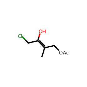 CC(=O)OC/C(C)=C(\O)CCl